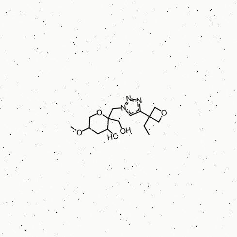 CCC1(c2cn(CC3(CO)OCC(OC)CC3O)nn2)COC1